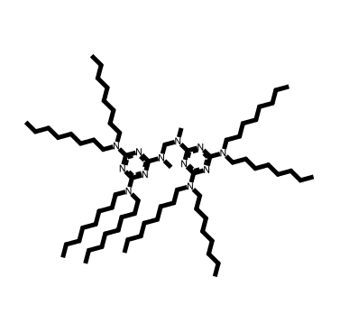 CCCCCCCCN(CCCCCCCC)c1nc(N(C)CN(C)c2nc(N(CCCCCCCC)CCCCCCCC)nc(N(CCCCCCCC)CCCCCCCC)n2)nc(N(CCCCCCCC)CCCCCCCC)n1